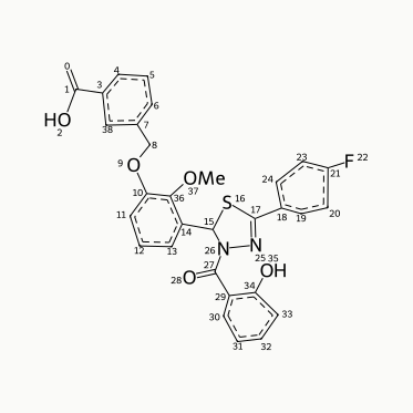 C=C(O)c1cccc(COc2cccc(C3SC(c4ccc(F)cc4)=NN3C(=O)c3ccccc3O)c2OC)c1